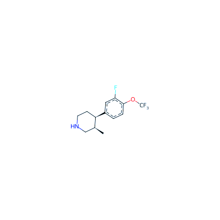 C[C@H]1CNCC[C@H]1c1ccc(OC(F)(F)F)c(F)c1